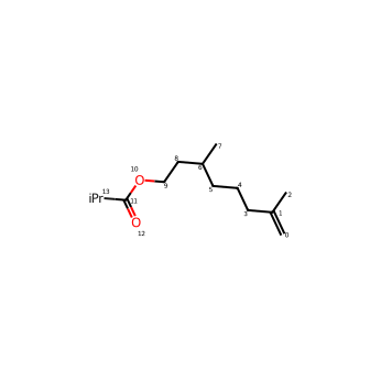 C=C(C)CCCC(C)CCOC(=O)C(C)C